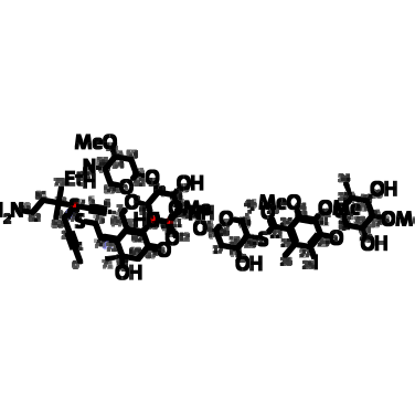 CC#C/C=C\C#C[C@H](O[C@@H]1O[C@H](C)[C@@H](NO[C@H]2C[C@H](O)[C@H](SC(=O)c3c(C)c(I)c(O[C@@H]4O[C@@H](C)[C@H](O)[C@@H](OC)[C@H]4O)c(OC)c3OC)[C@@H](C)O2)[C@H](O)[C@H]1O[C@H]1C[C@H](OC)[C@@H](NCC)CO1)C1=C(NC(=O)OC)C(=O)C[C@](C)(O)/C1=C/CSSC(C)(C)CCN